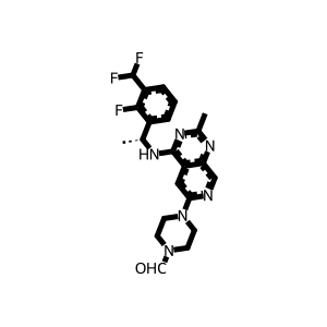 Cc1nc(N[C@H](C)c2cccc(C(F)F)c2F)c2cc(N3CCN(C=O)CC3)ncc2n1